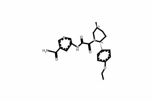 CCOc1ccc([C@H]2CC[C@H](C)CN2C(=O)C(=O)Nc2cncc(C(N)=O)c2)cc1